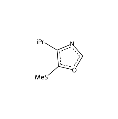 CSc1ocnc1C(C)C